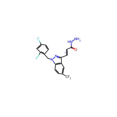 NNC(=O)/C=C/c1nn(Cc2ccc(F)cc2F)c2ccc(C(F)(F)F)cc12